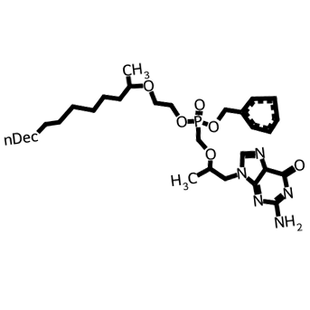 CCCCCCCCCCCCCCCCC(C)OCCOP(=O)(COC(C)CN1C=NC2C(=O)N=C(N)N=C21)OCc1ccccc1